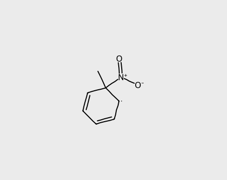 CC1([N+](=O)[O-])[CH]C=CC=C1